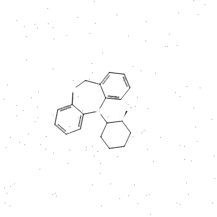 N[C@@H]1CCCC(N2c3ccccc3COc3ccccc32)[C@H]1O